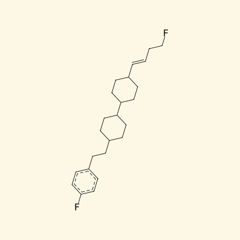 FCCC=CC1CCC(C2CCC(CCc3ccc(F)cc3)CC2)CC1